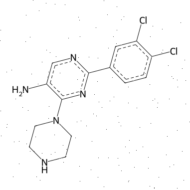 Nc1cnc(-c2ccc(Cl)c(Cl)c2)nc1N1CCNCC1